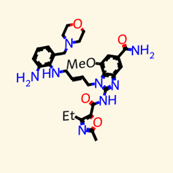 CCc1nc(C)oc1C(=O)Nc1nc2cc(C(N)=O)cc(OC)c2n1C/C=C/CNc1c(N)cccc1CN1CCOCC1